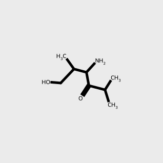 CC(C)C(=O)C(N)C(C)CO